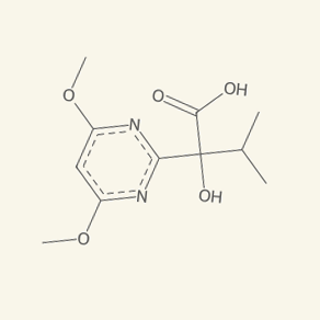 COc1cc(OC)nc(C(O)(C(=O)O)C(C)C)n1